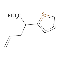 C=CCC(C(=O)OCC)c1cccs1